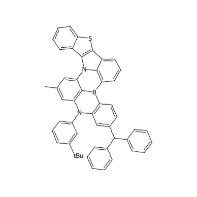 Cc1cc2c3c(c1)-n1c4c(cccc4c4sc5ccccc5c41)B3c1ccc(C(c3ccccc3)c3ccccc3)cc1N2c1cccc(C(C)(C)C)c1